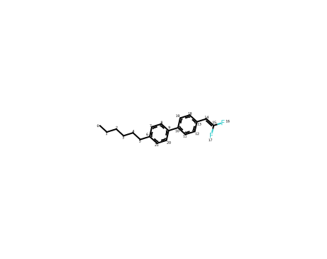 CCCCCCc1ccc(-c2ccc(C=C(F)F)cc2)cc1